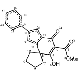 COC(=O)C1=C(O)C2(CCCC2)n2cc(-c3ccccc3)cc2C1=O